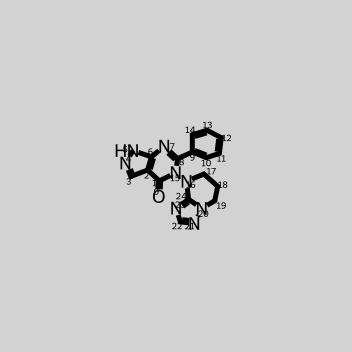 O=c1c2cn[nH]c2nc(-c2ccccc2)n1N1CCCn2ncnc21